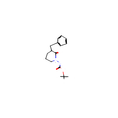 CC(C)(C)OC(=O)NN1CCCC(Cc2ccccc2)C1=O